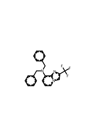 FC(F)(F)c1cn2cccc(N(Cc3ccccc3)Cc3ccccc3)c2n1